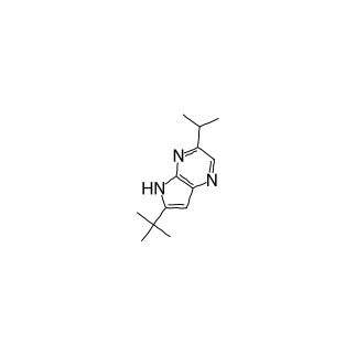 CC(C)c1cnc2cc(C(C)(C)C)[nH]c2n1